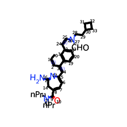 C/C=C\C(=C/C1=CC=C(C(=O)N(CCC)CCC)CC(N)=N1)c1ccc(C=O)c(/C=C\N(C)CCC2CCC2)c1